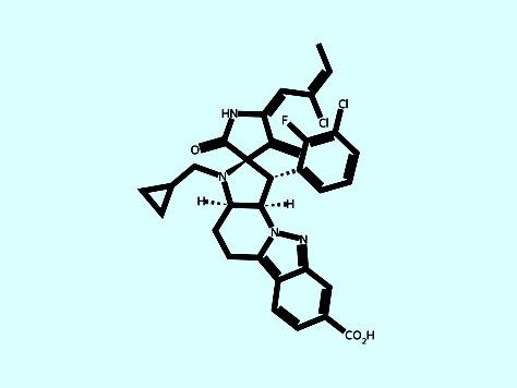 C=C1/C(=C\C(Cl)=C/C)NC(=O)[C@@]12[C@H](c1cccc(Cl)c1F)[C@@H]1[C@@H](CCc3c4ccc(C(=O)O)cc4nn31)N2CC1CC1